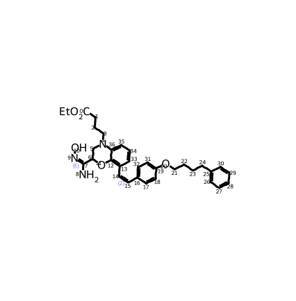 CCOC(=O)CCCN1CC(/C(N)=N\O)Oc2c(/C=C\c3ccc(OCCCCc4ccccc4)cc3)cccc21